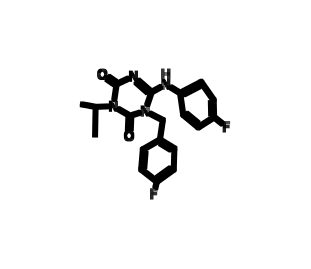 CC(C)n1c(=O)nc(Nc2ccc(F)cc2)n(Cc2ccc(F)cc2)c1=O